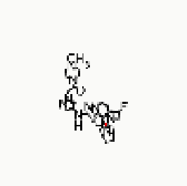 CN1CCN(C(=O)Cn2cc(Nc3nc4c(N5CC6CCC(C5)N6C(=O)N5CC(F)C5)cccn4n3)cn2)CC1